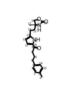 Cc1ccc(CCCC(=O)c2ccc(CC[C@]3(C)COC(=O)N3)[nH]2)cc1